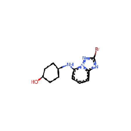 OC1CCC(Nc2cccc3nc(Br)nn23)CC1